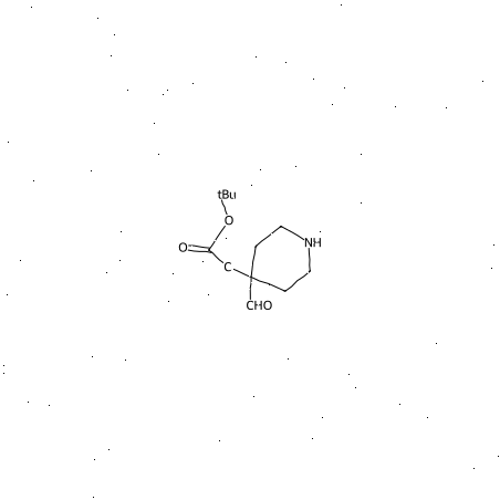 CC(C)(C)OC(=O)CC1(C=O)CCNCC1